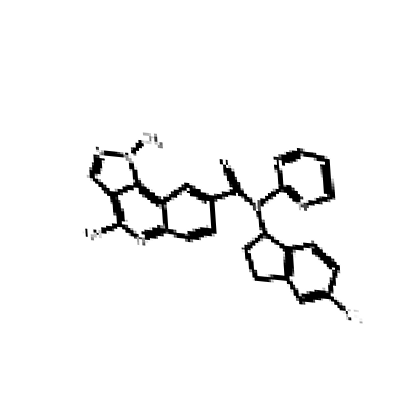 Cn1ncc2c(N)nc3ccc(C(=O)N(c4ncccn4)C4CCc5cc(C(F)(F)F)ccc54)cc3c21